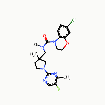 CCN(CC1(C)CCN(c2ncc(F)c(C)n2)C1)C(=O)N1CCOc2cc(Cl)ccc21